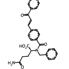 NC(=O)CC[C@@H](C(=O)O)N(Cc1ccccc1)C(=O)c1ccc(C=CC(=O)c2ccccc2)cc1